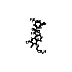 O=C(O)COc1c(F)c(Cl)cc2c1CCC[C@H]2NS(=O)(=O)c1cc(Br)cc(C(F)(F)F)c1